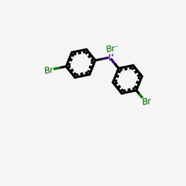 Brc1ccc([I+]c2ccc(Br)cc2)cc1.[Br-]